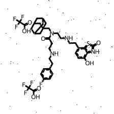 O=C(CCNCCc1ccc(F)cc1)N(CCNCCc1ccc(O)c2[nH]c(=O)sc12)CC12CC3CC(CC(C3)C1)C2.O=C(O)C(F)(F)F.O=C(O)C(F)(F)F